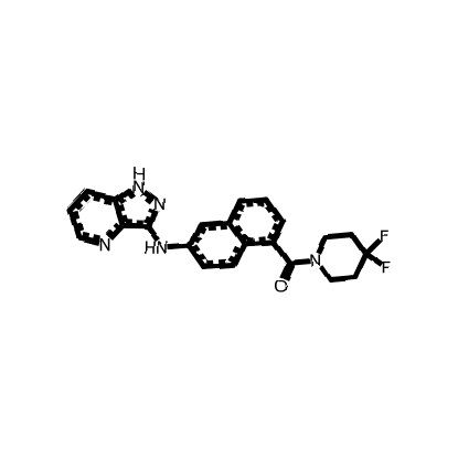 O=C(c1cccc2cc(Nc3n[nH]c4cccnc34)ccc12)N1CCC(F)(F)CC1